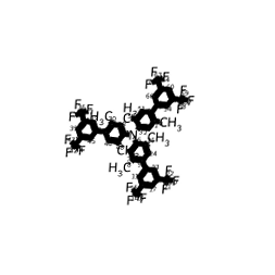 Cc1cc(N(c2cc(C)c(-c3cc(C(F)(F)F)cc(C(F)(F)F)c3)cc2C)c2cc(C)c(-c3cc(C(F)(F)F)cc(C(F)(F)F)c3)cc2C)c(C)cc1-c1cc(C(F)(F)F)cc(C(F)(F)F)c1